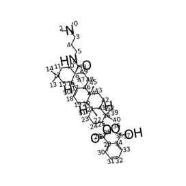 CN(C)CCCNC(=O)[C@]12CCC(C)(C)C[C@H]1C1=CC[C@@H]3[C@@]4(C)CC[C@H](OC(=O)c5ccccc5C(=O)O)C(C)(C)[C@@H]4CC[C@@]3(C)[C@]1(C)CC2